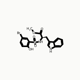 COC(=O)[C@@H](Cc1c[nH]c2ccccc12)NS(=O)(=O)c1cc(Br)ccc1O